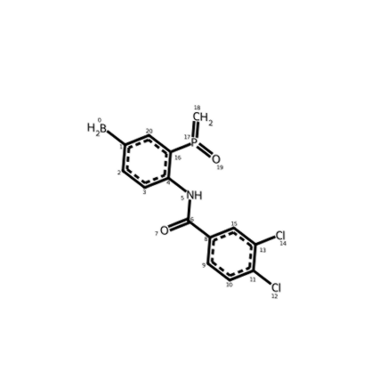 Bc1ccc(NC(=O)c2ccc(Cl)c(Cl)c2)c(P(=C)=O)c1